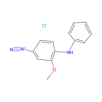 COc1cc([N+]#N)ccc1Nc1ccccc1.[Cl-]